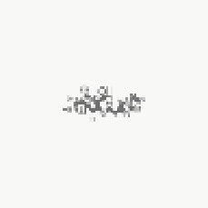 C[C@@H](O)[C@H]1C(=O)N2C(C(=O)O)=C(SCCc3cn4ncsc4n3)[C@H](C)[C@H]12